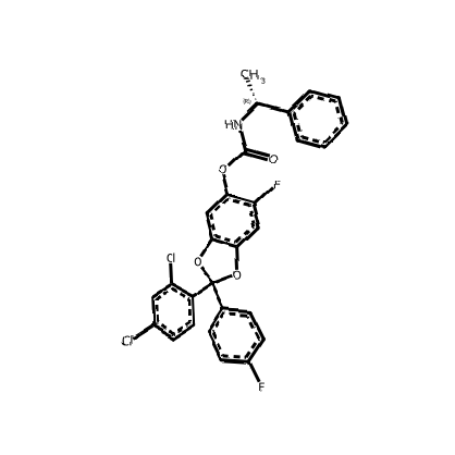 C[C@@H](NC(=O)Oc1cc2c(cc1F)OC(c1ccc(F)cc1)(c1ccc(Cl)cc1Cl)O2)c1ccccc1